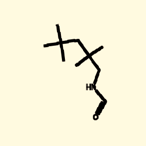 CC(C)(C)CC(C)(C)CNC=O